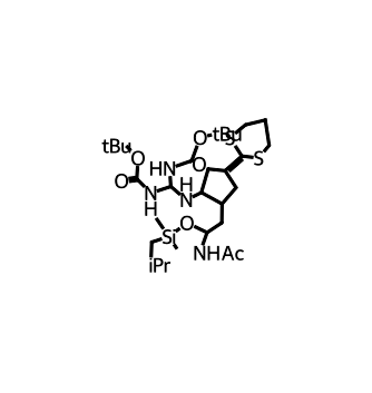 CC(=O)NC(CC1CC(=C2SCCCS2)CC1NC(NC(=O)OC(C)(C)C)NC(=O)OC(C)(C)C)O[Si](C)(C)CC(C)C